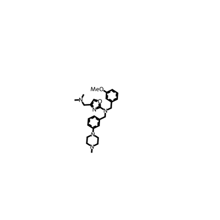 COc1cccc(CN(Cc2cccc(N3CCN(C)CC3)c2)c2nc(CN(C)C)co2)c1